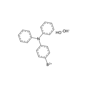 [B+2]c1ccc(N(c2ccccc2)c2ccccc2)cc1.[OH-].[OH-]